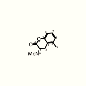 CN[C@H]1Cc2c(C)cccc2OC1=O